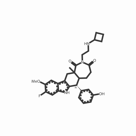 COc1cc2c3c([nH]c2cc1F)[C@@H](c1cccc(O)c1)C1CCC(=O)N(CCNC2CCC2)C(=O)C1(C)C3